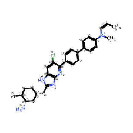 C/C=C\N(C)c1ccc(-c2ccc(-c3nc4nc(C[C@H]5CC[C@H](CC)[C@@H](N)C5)[nH]c4cc3Cl)cc2)cc1